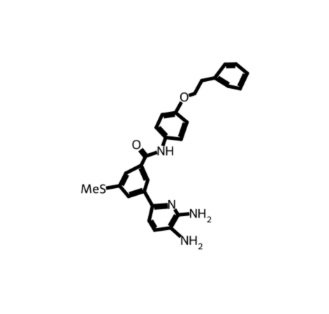 CSc1cc(C(=O)Nc2ccc(OCCc3ccccc3)cc2)cc(-c2ccc(N)c(N)n2)c1